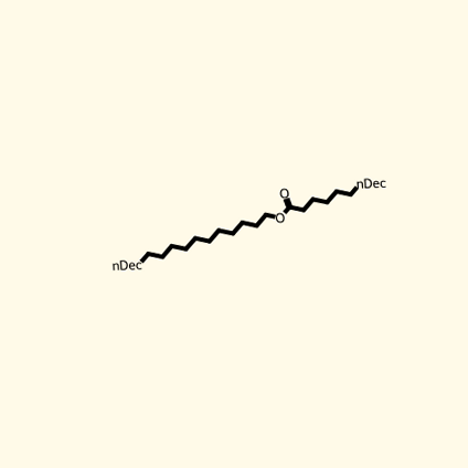 CCCCCCCCCCCCCCCCCCCCCOC(=O)CCCCCCCCCCCCCCC